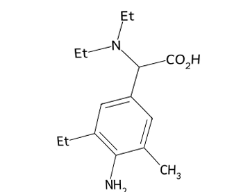 CCc1cc(C(C(=O)O)N(CC)CC)cc(C)c1N